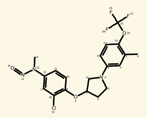 Cc1cc(N2CCC(Oc3ccc(N(C)N=O)cc3Cl)C2)ccc1OC(F)(F)F